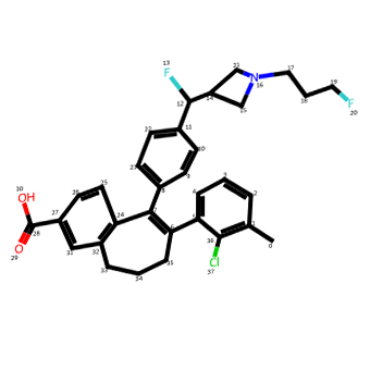 Cc1cccc(C2=C(c3ccc(C(F)C4CN(CCCF)C4)cc3)c3ccc(C(=O)O)cc3CCC2)c1Cl